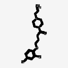 C=CCN1CCN(C(=O)CCCOc2ccc(Cl)cc2Cl)CC1